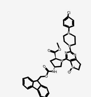 COC(=O)[C@@H]1C[C@@H](NC(=O)OCC2c3ccccc3-c3ccccc32)CN1c1nc(N2CCN(c3ccc(Cl)cc3)CC2)nc2c1[S+]([O-])CC2